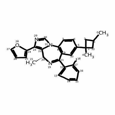 CC1CC(C)(c2ccc3c(c2)C(c2ccccc2I)=N[C@H](C)c2c(-c4ccco4)ncn2-3)C1